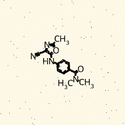 Cc1nc(C#N)c(Nc2ccc(C(=O)N(C)C)cc2)o1